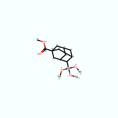 [3H]O[Si](O[3H])(O[3H])C1C2CC3CC1CC(C(=O)OC)(C3)C2